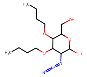 CCCCOC1C(CO)OC(O)C(N=[N+]=[N-])C1OCCCC